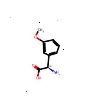 COc1cccc([C@@H](N)C(=O)O)c1